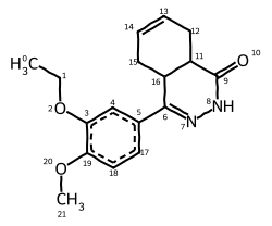 CCOc1cc(C2=NNC(=O)C3CC=CCC23)ccc1OC